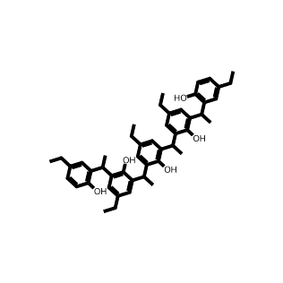 CCc1ccc(O)c(C(C)c2cc(CC)cc(C(C)c3cc(CC)cc(C(C)c4cc(CC)cc(C(C)c5cc(CC)ccc5O)c4O)c3O)c2O)c1